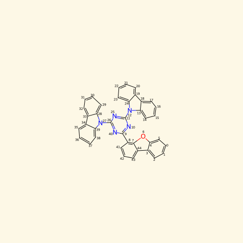 c1ccc2c(c1)oc1c(-c3nc(-n4c5ccccc5c5ccccc54)nc(-n4c5ccccc5c5ccccc54)n3)cccc12